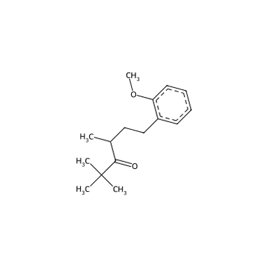 COc1ccccc1CCC(C)C(=O)C(C)(C)C